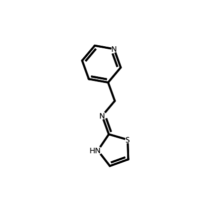 c1cncc(C/N=c2/[nH]ccs2)c1